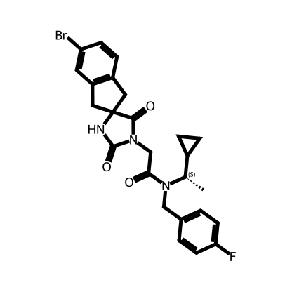 C[C@@H](C1CC1)N(Cc1ccc(F)cc1)C(=O)CN1C(=O)NC2(Cc3ccc(Br)cc3C2)C1=O